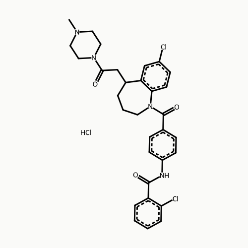 CN1CCN(C(=O)CC2CCCN(C(=O)c3ccc(NC(=O)c4ccccc4Cl)cc3)c3ccc(Cl)cc32)CC1.Cl